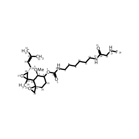 CO[C@H]1C(OC(=O)NCCCCCCNC(=O)CNF)CC[C@]2(CO2)C1C1(C)O[C@@H]1CC=C(C)C